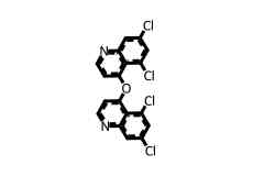 Clc1cc(Cl)c2c(Oc3ccnc4cc(Cl)cc(Cl)c34)ccnc2c1